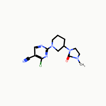 CN1CCN(C2CCCN(c3ncc(C#N)c(Cl)n3)C2)C1=O